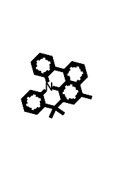 Cc1cc2c3c4c(cccc14)-c1ccccc1N3c1ccccc1C2(C)C